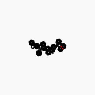 C[Si]1(C)c2cc(N(c3ccccc3)c3ccccc3-c3ccccc3)ccc2-c2cc3c4ccccc4c(N(c4ccccc4)c4ccc5c(c4)oc4ccccc45)cc3c3cccc1c23